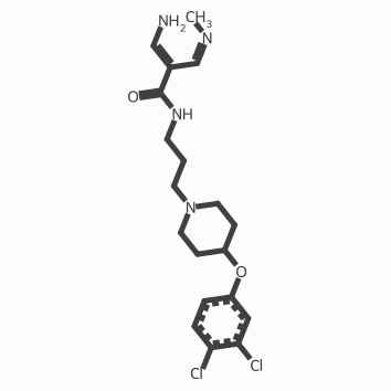 C/N=C\C(=C/N)C(=O)NCCCN1CCC(Oc2ccc(Cl)c(Cl)c2)CC1